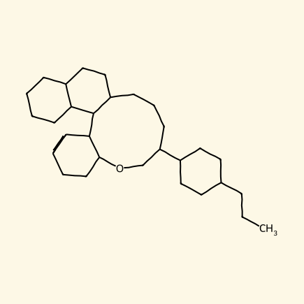 CCCC1CCC(C2CCCC3CCC4CCCCC4C3C3C(CCC4CCCCC43)OC2)CC1